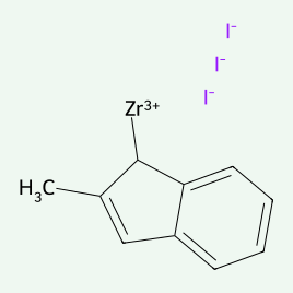 CC1=Cc2ccccc2[CH]1[Zr+3].[I-].[I-].[I-]